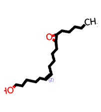 CCCCCC1OC1CCCC/C=C\CCCCCO